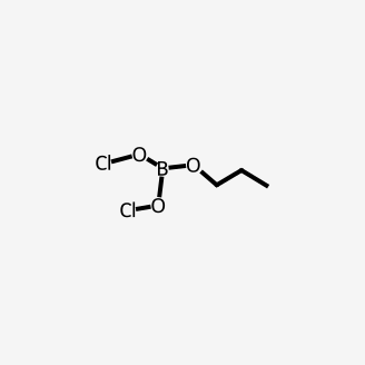 CCCOB(OCl)OCl